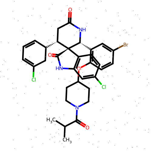 CC(C)C(=O)N1CCC(Oc2ccc(Br)cc2[C@H]2NC(=O)C[C@@H](C3C=CC=C(Cl)C3)[C@]23C(=O)Nc2cc(Cl)ccc23)CC1